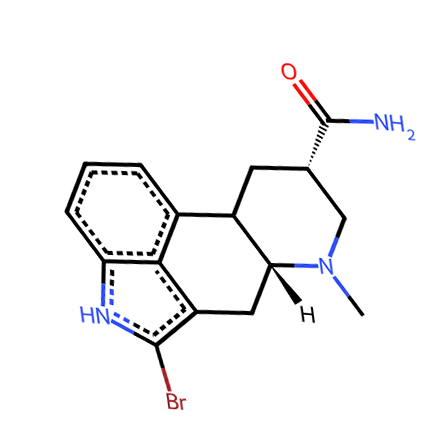 CN1C[C@@H](C(N)=O)CC2c3cccc4[nH]c(Br)c(c34)C[C@H]21